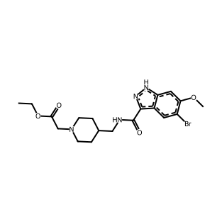 CCOC(=O)CN1CCC(CNC(=O)c2n[nH]c3cc(OC)c(Br)cc23)CC1